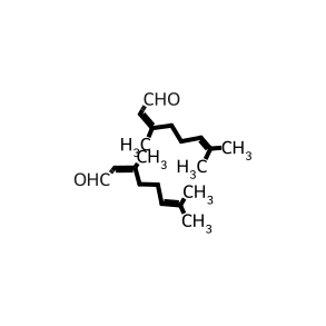 CC(C)=CCC/C(C)=C\C=O.CC(C)=CCCC(C)=CC=O